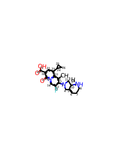 Cc1c(N2CC3=CCCN[C@@H]3C2)c(F)cn2c(=O)c(C(=O)O)cc(C3CC3)c12